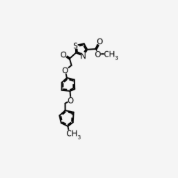 COC(=O)c1csc(C(=O)COc2ccc(OCc3ccc(C)cc3)cc2)n1